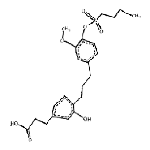 CCCCS(=O)(=O)Oc1ccc(CCCc2ccc(CCC(=O)O)cc2O)cc1OC